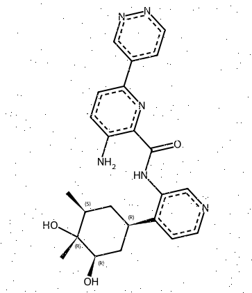 C[C@H]1C[C@@H](c2ccncc2NC(=O)c2nc(-c3ccnnc3)ccc2N)C[C@@H](O)[C@]1(C)O